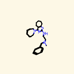 CN(CCNc1nc2c(c(N3CCCCCC3)n1)CCCCC2)Cc1ccccc1